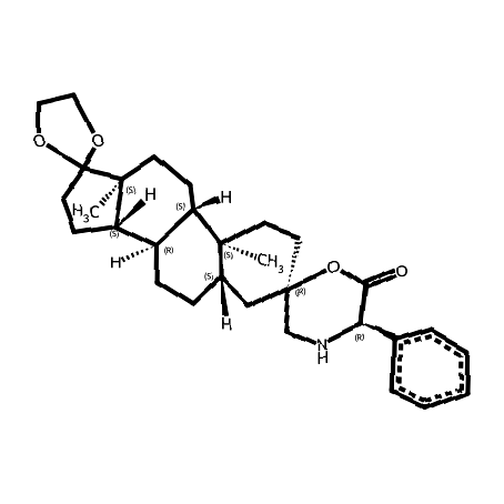 C[C@]12CC[C@]3(CN[C@H](c4ccccc4)C(=O)O3)C[C@@H]1CC[C@@H]1[C@@H]2CC[C@@]2(C)[C@H]1CCC21OCCO1